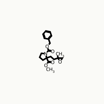 COC(=O)C1(CCC2(C)CO2)CCCN1C(=O)OCc1ccccc1